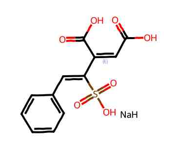 O=C(O)/C=C(\C(=O)O)C(=Cc1ccccc1)S(=O)(=O)O.[NaH]